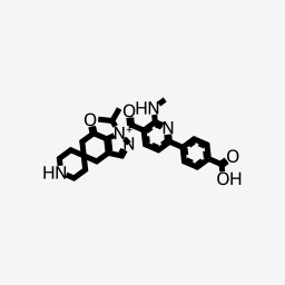 CNc1nc(-c2ccc(C(=O)O)cc2)ccc1C(=O)[N+]1(C(C)C)N=CC2=C1C(=O)CC1(CCNCC1)C2